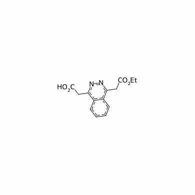 CCOC(=O)Cc1nnc(CC(=O)O)c2ccccc12